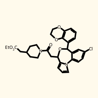 CCOC(=O)CC1CCN(C(=O)CC2OC(c3cccc4c3OCCO4)c3cc(Cl)ccc3-n3cccc32)CC1